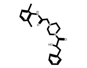 Cc1cccc(C)c1NC(=O)CN1CCN(C(=O)C(O)Cc2ccccc2)CC1